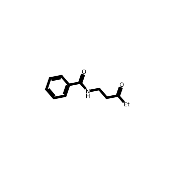 CCC(=O)CCNC(=O)c1ccccc1